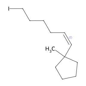 CC1(/C=C\CCCCI)CCCC1